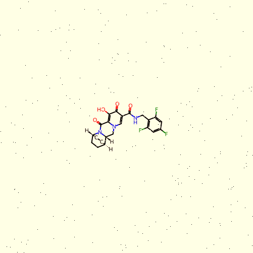 O=C(NCc1c(F)cc(F)cc1F)c1cn2c(c(O)c1=O)C(=O)N1[C@H]3CC[C@@H](CC3)[C@H]1C2